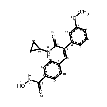 COc1cccc(/C(=C/c2ccc(C(=O)NO)cc2)C(=O)NC2CC2)c1